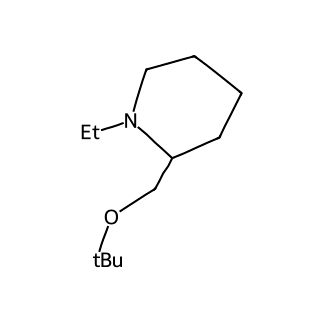 CCN1CCCCC1COC(C)(C)C